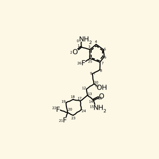 NC(=O)c1cccc(C[CH]C(O)CC(C(N)=O)C2CCC(F)(F)CC2)c1F